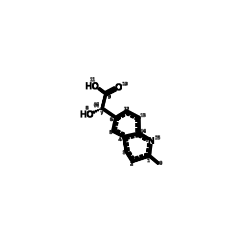 Cc1ccc2cc([C@H](O)C(=O)O)ccc2n1